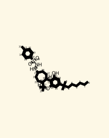 CCCCCCC(C)(C)c1cc(O)c2c(c1)OC(C)(C)[C@@H]1CCC(NNS(=O)(=O)c3ccc(C)cc3)CC[C@@H]21